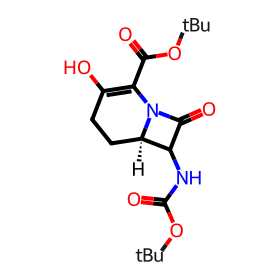 CC(C)(C)OC(=O)NC1C(=O)N2C(C(=O)OC(C)(C)C)=C(O)CC[C@H]12